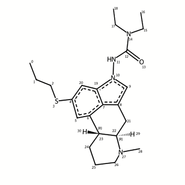 CCCSc1cc2c3c(cn(NC(=O)N(CC)CC)c3c1)C[C@@H]1[C@@H]2CCCN1C